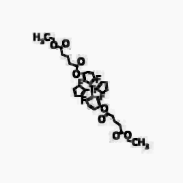 CCOC(=O)CCCC(=O)Oc1ccc(F)[c]([Ti]([C]2=CC=CC2)([C]2=CC=CC2)[c]2c(F)ccc(OC(=O)CCCC(=O)OCC)c2F)c1F